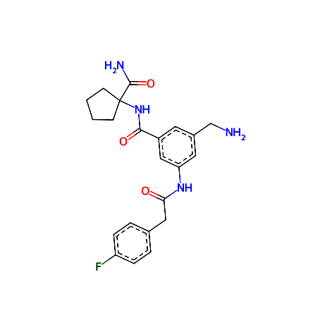 NCc1cc(NC(=O)Cc2ccc(F)cc2)cc(C(=O)NC2(C(N)=O)CCCC2)c1